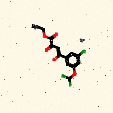 CCOC(=O)C(=O)C=C([O-])c1cc(Cl)cc(OC(F)F)c1.[Li+]